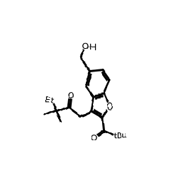 CCC(C)(C)C(=O)Cc1c(C(=O)C(C)(C)C)oc2ccc(CO)cc12